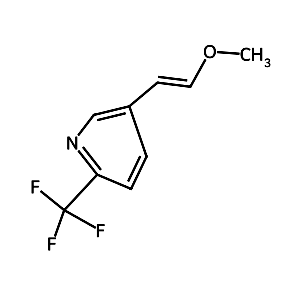 COC=Cc1ccc(C(F)(F)F)nc1